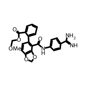 COCOC(=O)c1ccccc1-c1ccc2c(c1C(=O)Nc1ccc(C(=N)N)cc1)OCO2